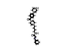 O=C(/C=C/c1cccnc1)NCCCCN1CCN(C(=O)c2ccc(N3CCNCC3)cc2)CC1